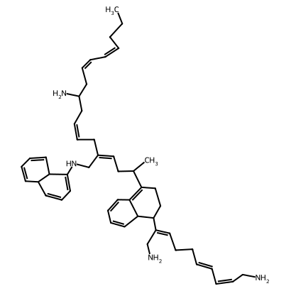 CCC/C=C\C=C/CC(N)C/C=C\C/C(=C/CC(C)C1=C2C=CC=CC2C(/C(=C/CC/C=C/C=C\CN)CN)CC1)CNC1=CC=CC2C=CC=CC12